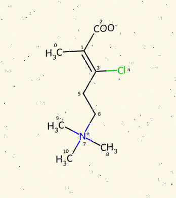 CC(C(=O)[O-])=C(Cl)CC[N+](C)(C)C